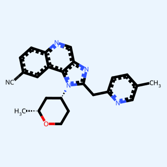 Cc1ccc(Cc2nc3cnc4ccc(C#N)cc4c3n2[C@@H]2CCO[C@H](C)C2)nc1